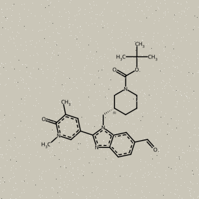 Cc1cc(-c2nc3ccc(C=O)cc3n2C[C@H]2CCCN(C(=O)OC(C)(C)C)C2)cn(C)c1=O